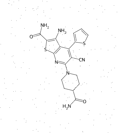 N#Cc1c(N2CCC(C(N)=O)CC2)nc2sc(C(N)=O)c(N)c2c1-c1cccs1